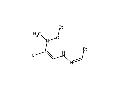 CC/C=N\N/C=C(/Cl)N(C)OCC